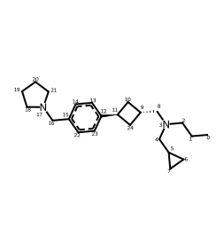 CCCN(CC1CC1)C[C@H]1C[C@H](c2ccc(CN3CCCC3)cc2)C1